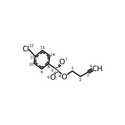 C#CCCOS(=O)(=O)c1ccc(Cl)cc1